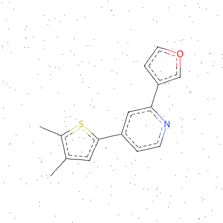 Cc1cc(-c2ccnc(-c3ccoc3)c2)sc1C